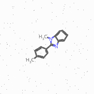 Cc1ccc(-c2nc3ccccc3n2C)cc1